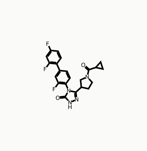 O=C(C1CC1)N1CCC(c2n[nH]c(=O)n2-c2ccc(-c3ccc(F)cc3F)cc2F)C1